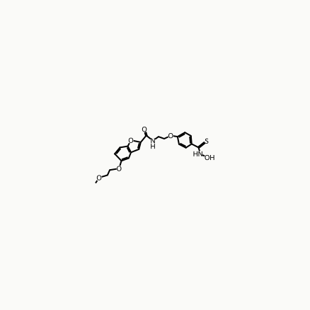 COCCOc1ccc2oc(C(=O)NCCOc3ccc(C(=S)NO)cc3)cc2c1